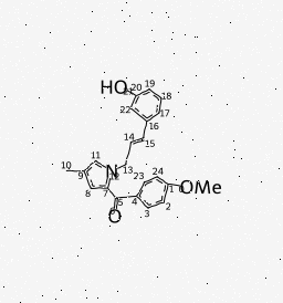 COc1ccc(C(=O)c2cc(C)cn2C/C=C/c2cccc(O)c2)cc1